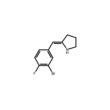 Fc1ccc(C=C2CCCN2)cc1Br